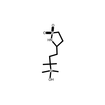 CC(C)(CCC1CCS(=O)(=O)N1)[Si](C)(C)O